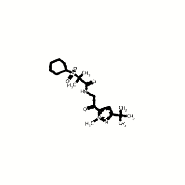 Cn1nc(C(C)(C)C)cc1C(=O)CNC(=O)C(C)(C)S(=O)(=O)C1CCCCC1